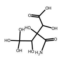 NC(=O)C(O)(C(O)C(=O)O)C(O)C(O)(O)O